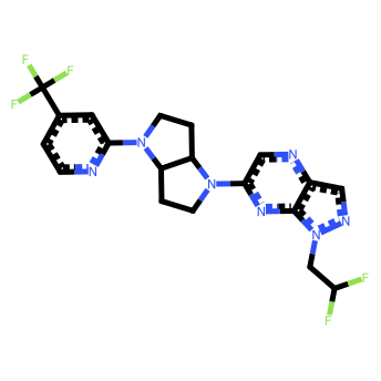 FC(F)Cn1ncc2ncc(N3CCC4C3CCN4c3cc(C(F)(F)F)ccn3)nc21